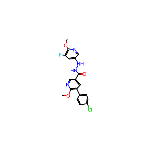 COc1ncc(NNC(=O)c2cnc(OC)c(-c3ccc(Cl)cc3)c2)cc1F